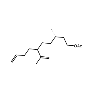 C=CCCC(CC[C@H](C)CCOC(C)=O)C(=C)C